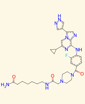 NC(=O)CCCCCCNC(=O)CN1CCN(C(=O)c2ccc(Nc3nc(C4CC4)cn4c(-c5cn[nH]c5)cnc34)c(F)c2)CC1